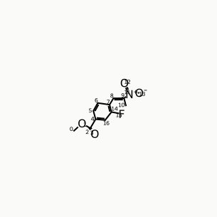 COC(=O)c1ccc(/C=C(\C)[N+](=O)[O-])c(F)c1